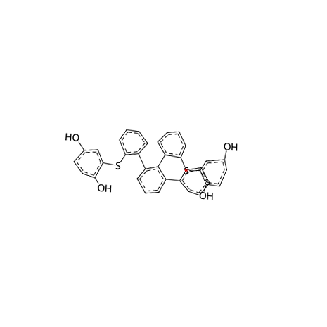 Oc1ccc(O)c(Sc2ccccc2-c2cccc(-c3ccccc3)c2-c2ccccc2Sc2cc(O)ccc2O)c1